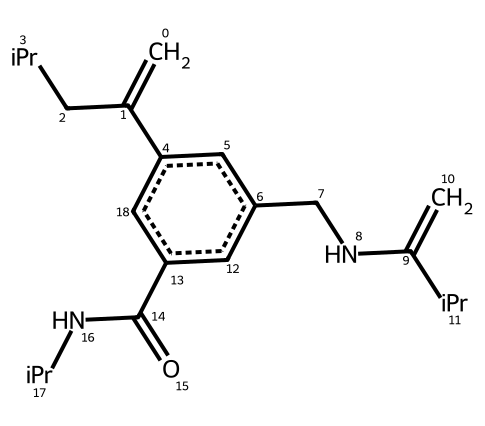 C=C(CC(C)C)c1cc(CNC(=C)C(C)C)cc(C(=O)NC(C)C)c1